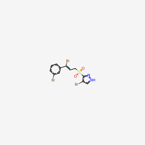 O=S(=O)(CC=C(Br)c1cccc(Br)c1)c1n[nH]cc1Br